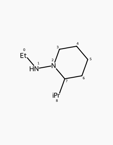 CCNN1CCCCC1C(C)C